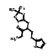 CC1(C)OCC(CC(CCc2cccs2)C(=O)CC(=O)O)O1